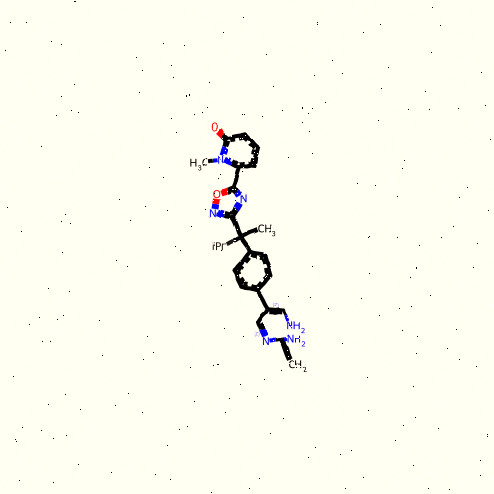 C=C(N)/N=C\C(=C/N)c1ccc(C(C)(c2noc(-c3cccc(=O)n3C)n2)C(C)C)cc1